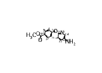 COC(=O)c1ccc(Oc2ccc(N)cn2)cc1